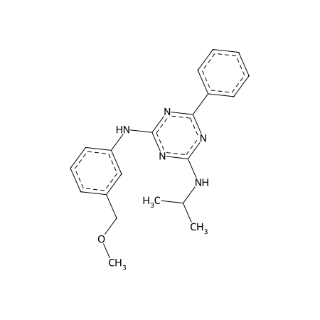 COCc1cccc(Nc2nc(NC(C)C)nc(-c3ccccc3)n2)c1